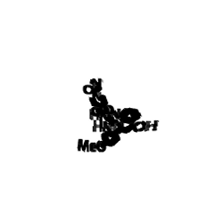 COc1ccc(CCCO)c(Nc2nc3ccccc3nc2NS(=O)(=O)C2CCN(C(=O)CN(C)C)CC2)c1